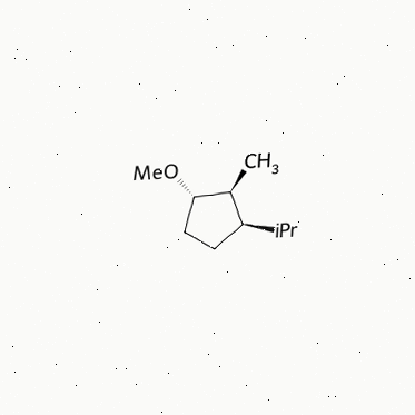 CO[C@H]1CC[C@H](C(C)C)[C@@H]1C